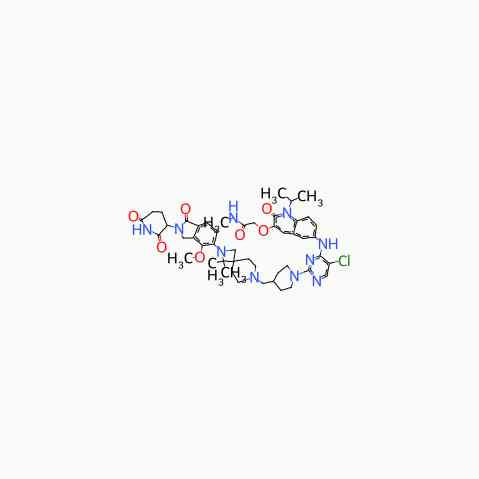 CNC(=O)COc1cc2cc(Nc3nc(N4CCC(CN5CCC6(CC5)CN(c5ccc7c(c5OC)CN(C5CCC(=O)NC5=O)C7=O)C6(C)C)CC4)ncc3Cl)ccc2n(C(C)C)c1=O